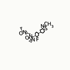 Cc1nc2cc(-c3ccc(C4=NC5(CC5)C(=O)N4CC4CN(C(=O)C5CC5)C4)c(F)c3)ccc2s1